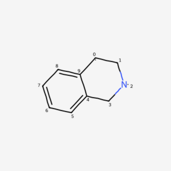 [CH]1C[N]Cc2ccccc21